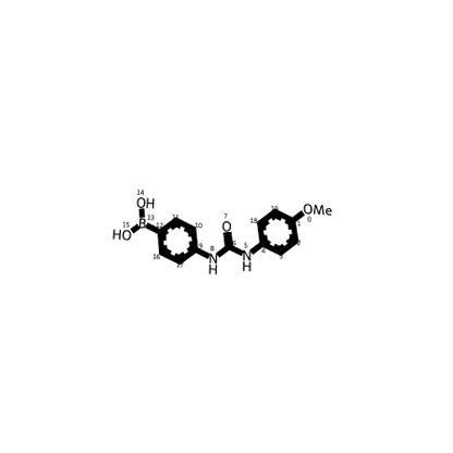 COc1ccc(NC(=O)Nc2ccc(B(O)O)cc2)cc1